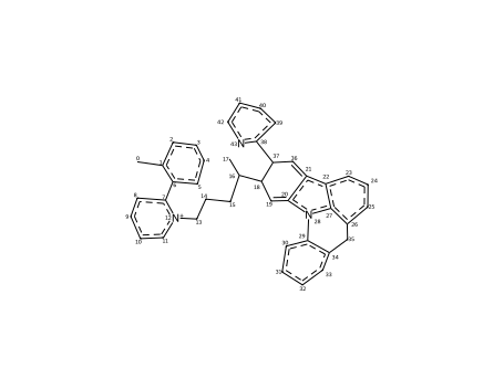 Cc1ccccc1-c1cccc[n+]1CCCC(C)C1C=c2c(c3cccc4c3n2-c2ccccc2C4)=CC1c1ccccn1